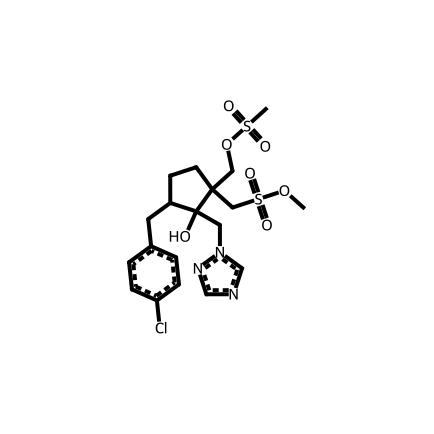 COS(=O)(=O)CC1(COS(C)(=O)=O)CCC(Cc2ccc(Cl)cc2)C1(O)Cn1cncn1